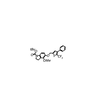 COc1c(OCc2cc(-c3ccccc3)c(C(F)(F)F)s2)ccc2c1CCN2C(=O)OC(C)(C)C